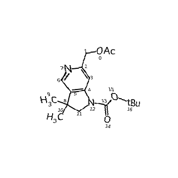 CC(=O)OCc1cc2c(cn1)C(C)(C)CN2C(=O)OC(C)(C)C